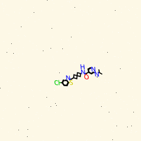 CC(C)N(C)c1cc(C(=O)NC2CC3(C2)CC(c2nc4cc(Cl)ccc4s2)C3)ccn1